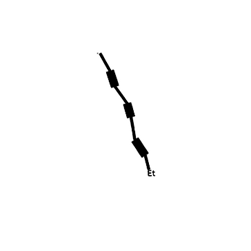 [CH2]C#CC#CC#CC[CH2]